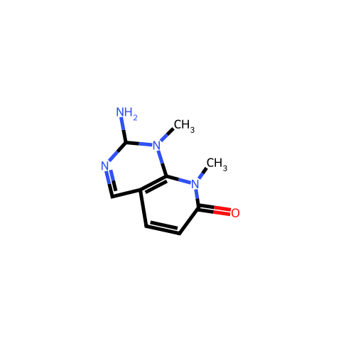 CN1c2c(ccc(=O)n2C)C=NC1N